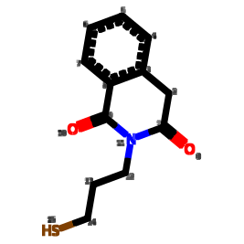 O=C1Cc2ccccc2C(=O)N1CCCS